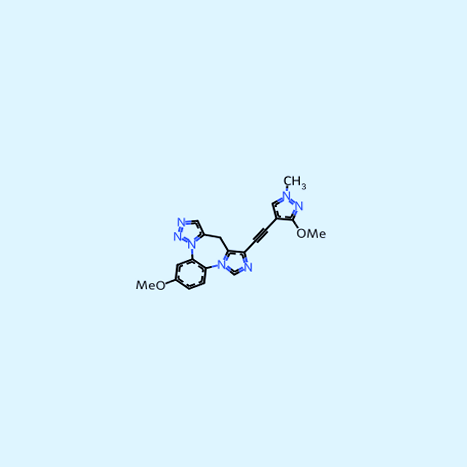 COc1ccc2c(c1)-n1nncc1Cc1c(C#Cc3cn(C)nc3OC)ncn1-2